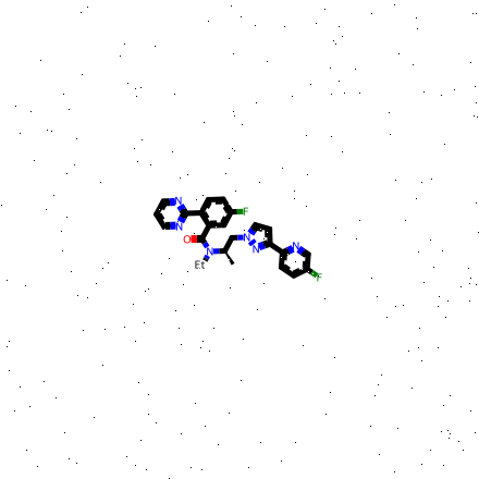 CCN(C(=O)c1cc(F)ccc1-c1ncccn1)[C@H](C)Cn1ccc(-c2ccc(F)cn2)n1